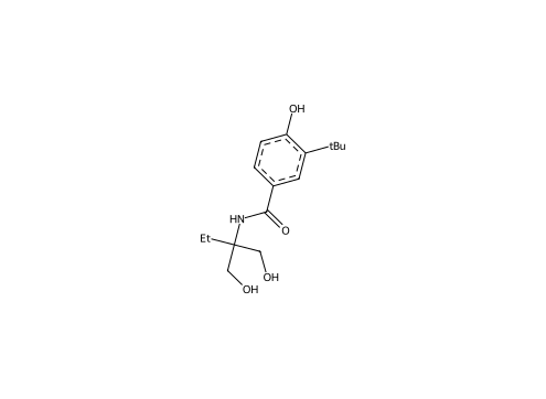 CCC(CO)(CO)NC(=O)c1ccc(O)c(C(C)(C)C)c1